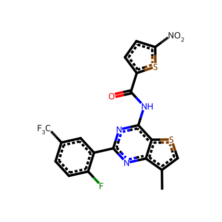 Cc1csc2c(NC(=O)c3ccc([N+](=O)[O-])s3)nc(-c3cc(C(F)(F)F)ccc3F)nc12